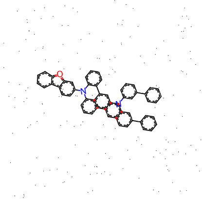 c1ccc(-c2cccc(N(c3cccc(-c4ccccc4)c3)c3cccc(-c4ccccc4N(c4cccc(-c5ccccc5)c4)c4ccc5c(c4)oc4ccccc45)c3)c2)cc1